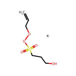 C=CCOOS(=O)(=O)CCCO.[K]